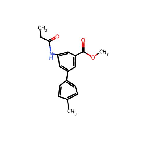 CCC(=O)Nc1cc(C(=O)OC)cc(-c2ccc(C)cc2)c1